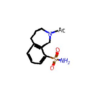 CC(=O)N1CCCc2cccc(S(N)(=O)=O)c2C1